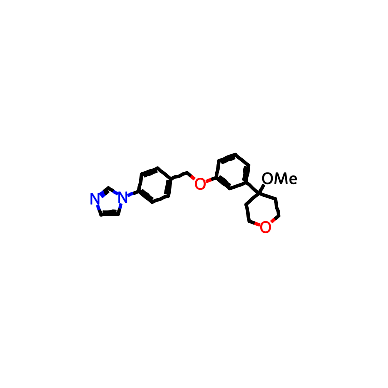 COC1(c2cccc(OCc3ccc(-n4ccnc4)cc3)c2)CCOCC1